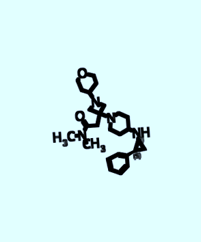 CN(C)C(=O)CC1(N2CCC(N[C@@H]3C[C@H]3c3ccccc3)CC2)CN(C2CCOCC2)C1